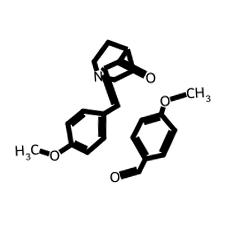 COc1ccc(C=C2C(=O)C3CCN2CC3)cc1.COc1ccc(C=O)cc1